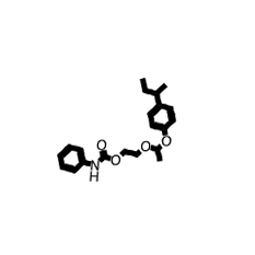 CCC(C)c1ccc(OC(C)OCCOC(=O)Nc2ccccc2)cc1